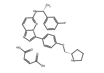 C[C@@H](Nc1ccc2ncc(-c3ccc(OC[C@@H]4CCCN4)cc3)n2n1)c1cccc(F)c1.O=C(O)/C=C\C(=O)O